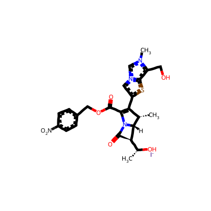 C[C@@H](O)[C@H]1C(=O)N2C(C(=O)OCc3ccc([N+](=O)[O-])cc3)=C(c3c[n+]4cn(C)c(CO)c4s3)[C@H](C)[C@H]12.[I-]